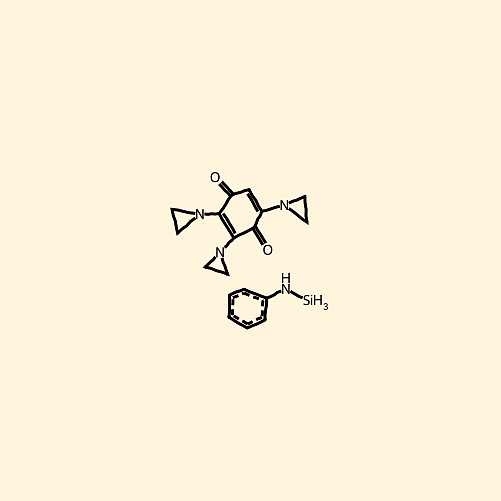 O=C1C=C(N2CC2)C(=O)C(N2CC2)=C1N1CC1.[SiH3]Nc1ccccc1